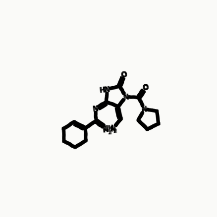 C=C(/N=C1/NC(=O)N(C(=O)N2CCCC2)/C1=C/N)C1=CCCCC1